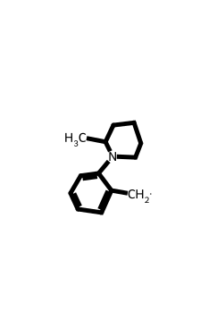 [CH2]c1ccccc1N1CCCCC1C